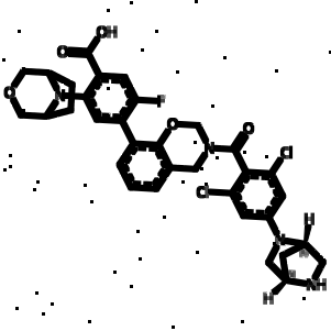 O=C(O)c1cc(F)c(-c2cccc3c2OCN(C(=O)c2c(Cl)cc(N4C[C@@H]5C[C@H]4CN5)cc2Cl)C3)cc1N1C2CCC1COC2